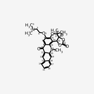 CN(C)CCOc1cc2c(=O)c3cc4ccccc4cc3n(C)c2c2c1OC(C)(C)[C@H]1OC(=O)OC21